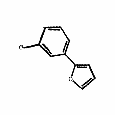 Clc1[c]ccc(-c2ccco2)c1